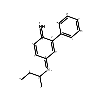 CCC(C)N=C1C=CC(=N)C(c2ccccc2)=C1